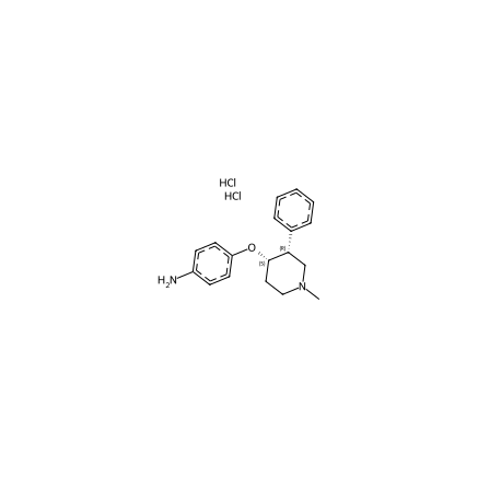 CN1CC[C@H](Oc2ccc(N)cc2)[C@H](c2ccccc2)C1.Cl.Cl